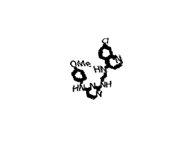 COc1ccc(Nc2ccnc(NCCNc3ccnc4cc(Cl)ccc34)n2)cc1